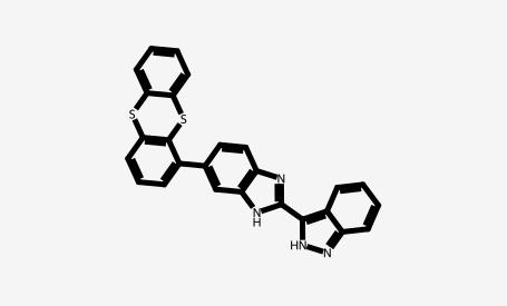 c1ccc2c(c1)Sc1cccc(-c3ccc4nc(-c5[nH]nc6ccccc56)[nH]c4c3)c1S2